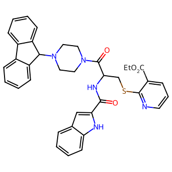 CCOC(=O)c1cccnc1SCC(NC(=O)c1cc2ccccc2[nH]1)C(=O)N1CCN(C2c3ccccc3-c3ccccc32)CC1